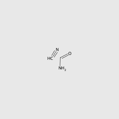 C#N.NC=O